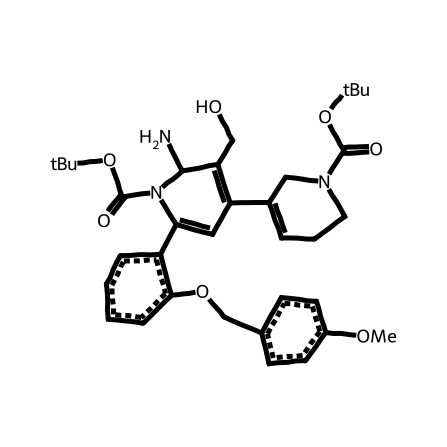 COc1ccc(COc2ccccc2C2=CC(C3=CCCN(C(=O)OC(C)(C)C)C3)=C(CO)C(N)N2C(=O)OC(C)(C)C)cc1